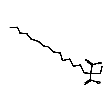 CCCCCCCCCCCCCCCC(CC)(C(=O)O)C(=O)O